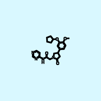 COc1ccc(C2CC(=O)N(CC(=O)Nc3ccncn3)C2)cc1OC1CCCC1